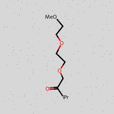 COCCOCCOCC(=O)C(C)C